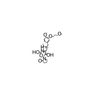 COCCCOc1cc(C[C@@H](C[C@H](NC(=O)O)[C@@H](O)CN2CCCC2=O)C(C)C)ccc1OC